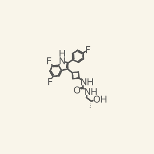 C[C@@H](O)CNC(=O)NC1CC(c2c(-c3ccc(F)cc3)[nH]c3c(F)cc(F)cc23)C1